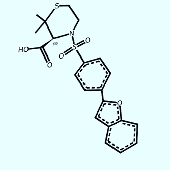 CC1(C)SCCN(S(=O)(=O)c2ccc(-c3cc4ccccc4o3)cc2)[C@H]1C(=O)O